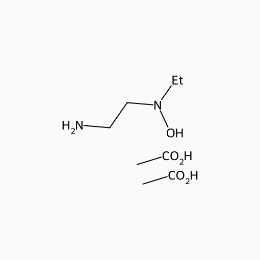 CC(=O)O.CC(=O)O.CCN(O)CCN